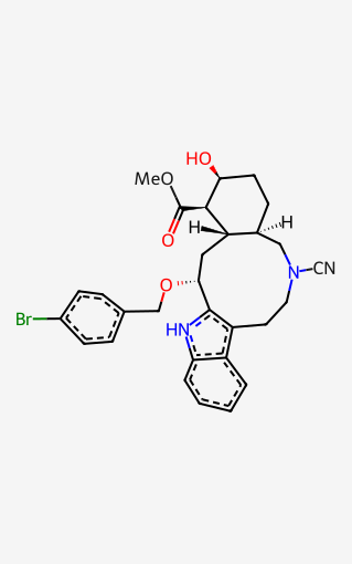 COC(=O)[C@@H]1[C@H]2C[C@@H](OCc3ccc(Br)cc3)c3[nH]c4ccccc4c3CCN(C#N)C[C@@H]2CC[C@@H]1O